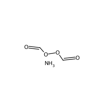 N.O=COOC=O